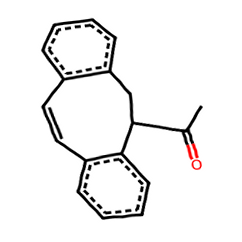 CC(=O)C1Cc2ccccc2/C=C\c2ccccc21